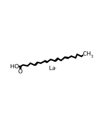 CCCCCC=CCC=CCC=CCC=CCCCC(=O)O.[La]